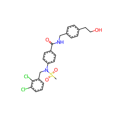 CS(=O)(=O)N(Cc1cccc(Cl)c1Cl)c1ccc(C(=O)NCc2ccc(CCO)cc2)cc1